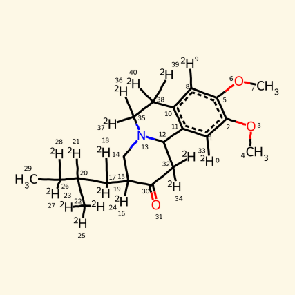 [2H]c1c(OC)c(OC)c([2H])c2c1C1N(CC([2H])(C([2H])([2H])C([2H])(C([2H])([2H])[2H])C([2H])([2H])C)C(=O)C1([2H])[2H])C([2H])([2H])C2([2H])[2H]